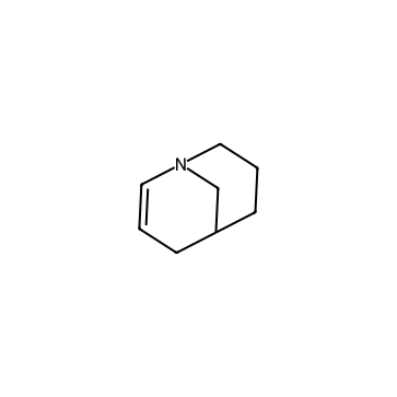 C1=CN2CCCC(C1)C2